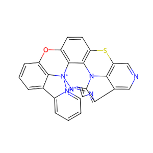 c1cc2c3c(c1)-c1cccc[n+]1[N+]31c3c(ccc4c3-n3c5c(cncc5c5ncc[n+]1c53)S4)O2